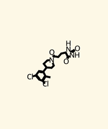 Cc1c(Cl)cc(Cl)cc1C1CCN(C(=O)CCC2NC(=O)NC2=O)CC1